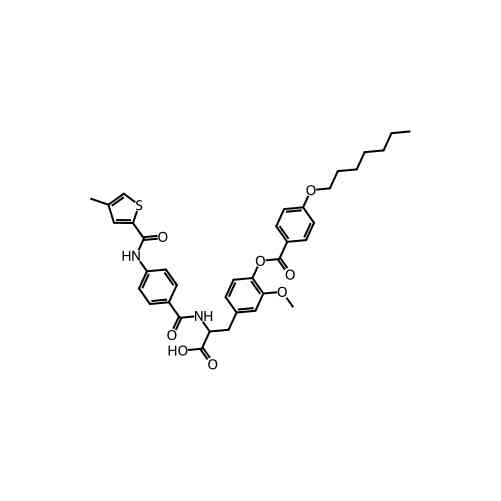 CCCCCCCOc1ccc(C(=O)Oc2ccc(CC(NC(=O)c3ccc(NC(=O)c4cc(C)cs4)cc3)C(=O)O)cc2OC)cc1